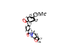 COc1ccc(C(=O)c2ccc(C(=O)N3CCc4ccoc4C3)cc2)cc1